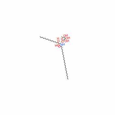 CCCCCCCCCCCCCCCCCCCCCCCCCC(=O)N[C@@H](CO[C@@H]1O[C@@H](C)[C@@H](O)C(O)[C@@H]1O)[C@H](O)[C@H](O)CCCCCCCCCCCCCC